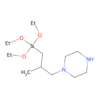 CCO[Si](CC(C)CN1CCNCC1)(OCC)OCC